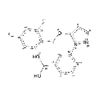 Cc1ccc(COc2ccnn2-c2cc(C(O)O)ccn2)c(C)c1